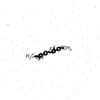 C=CCOc1ccc(C2CCC(CCc3ccc(C4=CCC(OCC)CC4)c(F)c3F)CC2)c(F)c1F